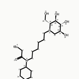 CC(C)(C)CC(=O)N(CCCCCCN1C[C@H](O)[C@@H](O)[C@H](O)[C@H]1CO)C1CCCCC1